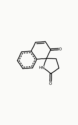 O=C1CCC2(N1)C(=O)C=Cc1ccccc12